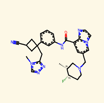 C[C@@H]1CN(Cc2cc(C(=O)Nc3cccc(C4(Cc5nncn5C)CC(C#N)C4)c3)c3nccn3c2)CC[C@@H]1F